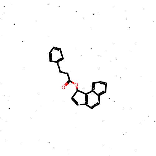 O=C(CCc1ccccc1)OC1C=Cc2ccc3ccccc3c21